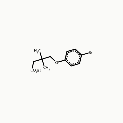 CCOC(=O)CC(C)(C)COc1ccc(Br)cc1